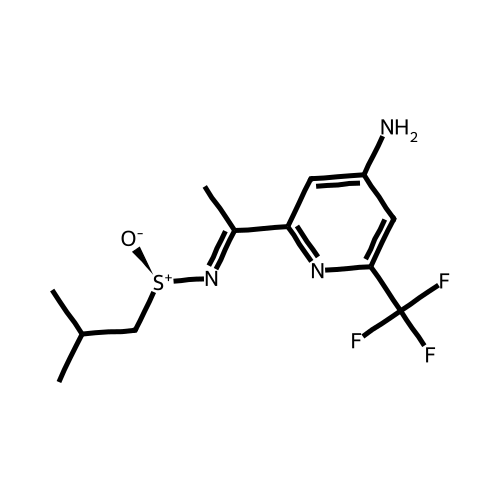 CC(=N[S@+]([O-])CC(C)C)c1cc(N)cc(C(F)(F)F)n1